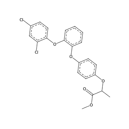 COC(=O)C(C)Oc1ccc(Oc2ccccc2Oc2ccc(Cl)cc2Cl)cc1